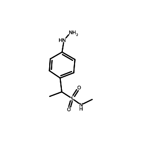 CNS(=O)(=O)C(C)c1ccc(NN)cc1